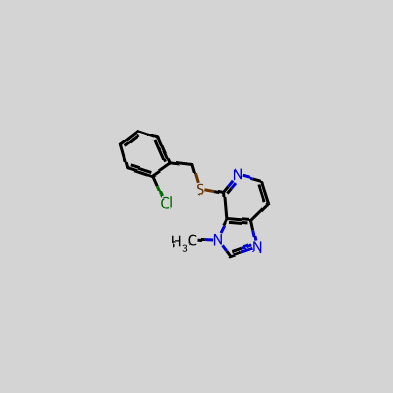 Cn1cnc2ccnc(SCc3ccccc3Cl)c21